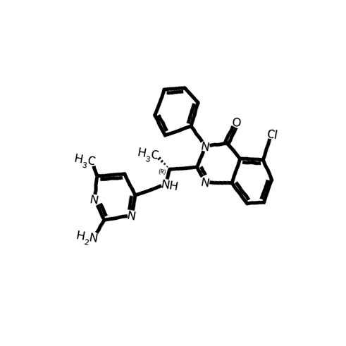 Cc1cc(N[C@H](C)c2nc3cccc(Cl)c3c(=O)n2-c2ccccc2)nc(N)n1